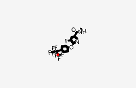 CNC(=O)c1cnc(Oc2ccc(C(F)(C(F)(F)F)C(F)(F)F)cc2)c(F)c1